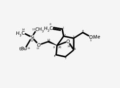 C=CC1C(COC)C2CC[C@@]1(CO[Si](C)(C)C(C)(C)C)O2